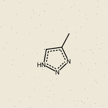 Cc1[c][nH]nn1